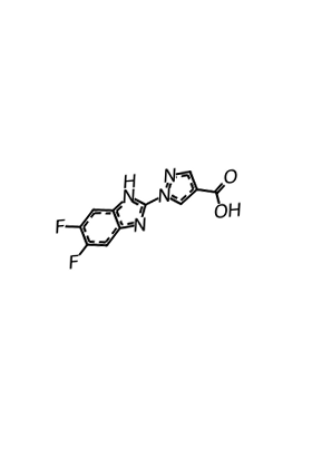 O=C(O)c1cnn(-c2nc3cc(F)c(F)cc3[nH]2)c1